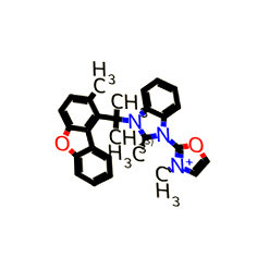 Cc1ccc2oc3ccccc3c2c1C(C)(C)N1c2ccccc2N(c2occ[n+]2C)[C@H]1C